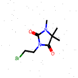 CN1C(=O)N(CCBr)C(=O)C1(C)C